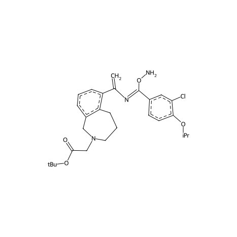 C=C(/N=C(\ON)c1ccc(OC(C)C)c(Cl)c1)c1cccc2c1CCCN(CC(=O)OC(C)(C)C)C2